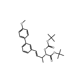 COc1ccc(-c2cccc(C=CC(C)N(OC(=O)OC(C)(C)C)C(=O)OC(C)(C)C)c2)cc1